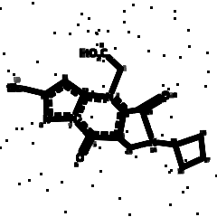 CCOC(=O)Cn1c2c(c(=O)n3nc(C(C)(C)C)cc13)CN(C1CCC1)C2=O